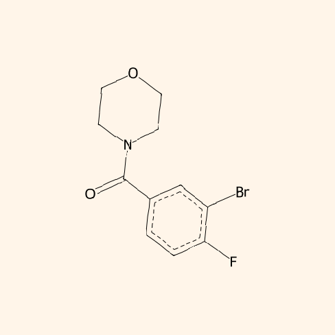 O=C(c1ccc(F)c(Br)c1)N1CCOCC1